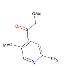 COCC(=O)c1cc(C(F)(F)F)ncc1OC